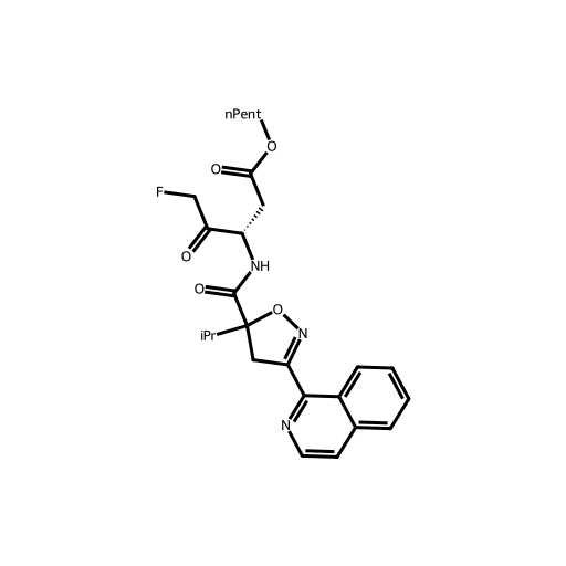 CCCCCOC(=O)C[C@H](NC(=O)C1(C(C)C)CC(c2nccc3ccccc23)=NO1)C(=O)CF